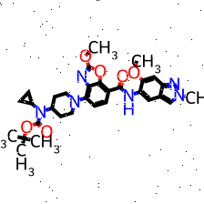 COc1nc2c(N3CCC(N(C(=O)OC(C)(C)C)C4CC4)CC3)ccc(C(=O)Nc3cc4cn(C)nc4cc3OC)c2o1